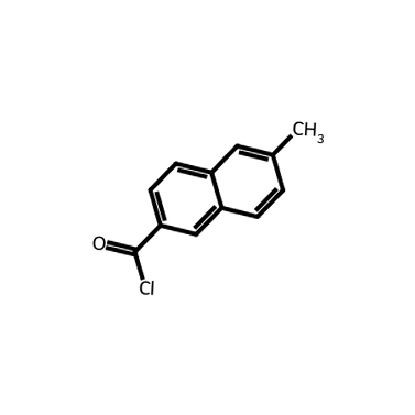 Cc1ccc2cc(C(=O)Cl)ccc2c1